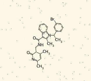 CC1=CC(C)=NC(=O)C1CNC(=O)c1c(C)n(C(C)c2cccc(Br)c2)c2ccccc12